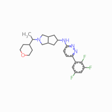 CC(C1CCOCC1)N1CC2CC(Nc3ccc(-c4cc(F)cc(F)c4F)nn3)CC2C1